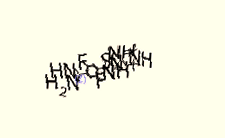 CN(C(=N)SC(=N)c1cc(F)c(/C(C=N)=C/N)cc1F)C1CC(C)(C)NC(C)(C)C1